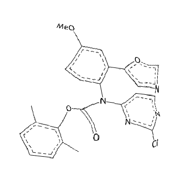 COc1ccc(N(C(=O)Oc2c(C)cccc2C)c2ccnc(Cl)n2)c(-c2cnco2)c1